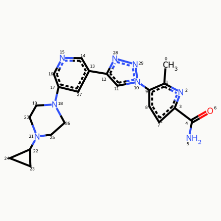 Cc1nc(C(N)=O)[c]cc1-n1cc(-c2cncc(N3CCN(C4CC4)CC3)c2)nn1